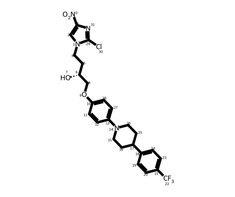 O=[N+]([O-])c1cn(CC[C@@H](O)COc2ccc(N3CCC(c4ccc(C(F)(F)F)cc4)CC3)cc2)c(Cl)n1